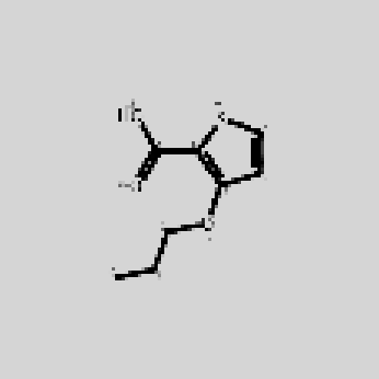 CCCOc1ccsc1C(=O)O